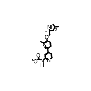 COC(=O)Nc1cc(-c2ccc(OC[C@](C)(N)CC(C)C)c(C)n2)ccn1